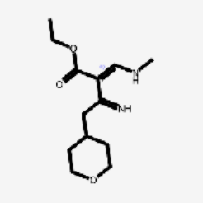 CCOC(=O)/C(=C/NC)C(=N)CC1CCOCC1